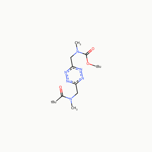 CN(Cc1nnc(CN(C)C(=O)C(C)(C)C)nn1)C(=O)OC(C)(C)C